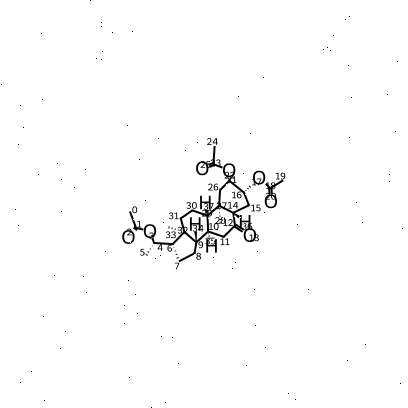 CC(=O)O[C@@H](C)[C@H]1CC[C@H]2[C@@H]3CC(=O)[C@H]4C[C@@H](OC(C)=O)[C@@H](OC(C)=O)C[C@]4(C)[C@H]3CC[C@]12C